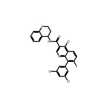 O=C(NC1CCOc2ccccc21)c1cnc2c(-c3cc(Cl)cc(Cl)c3)c(F)ccc2c1Cl